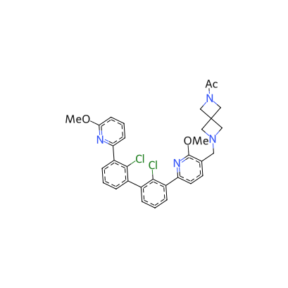 COc1cccc(-c2cccc(-c3cccc(-c4ccc(CN5CC6(C5)CN(C(C)=O)C6)c(OC)n4)c3Cl)c2Cl)n1